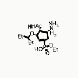 CCOP(=O)(O)C1=C[C@@H](OC(CC)CC)[C@H](NC(C)=O)[C@@H](N)C1.N